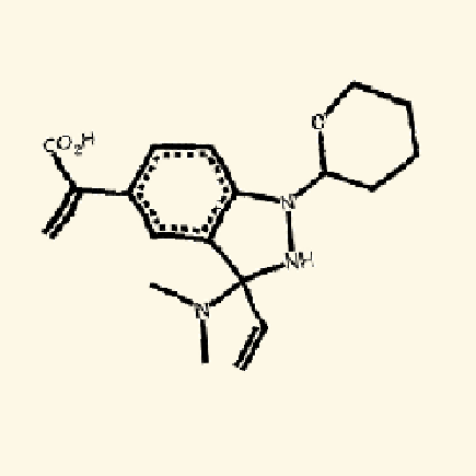 C=CC1(N(C)C)NN(C2CCCCO2)c2ccc(C(=C)C(=O)O)cc21